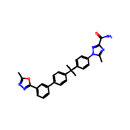 Cc1nnc(-c2cccc(-c3ccc(C(C)(C)c4ccc(-n5nc(C(N)=O)nc5C)cc4)cc3)c2)o1